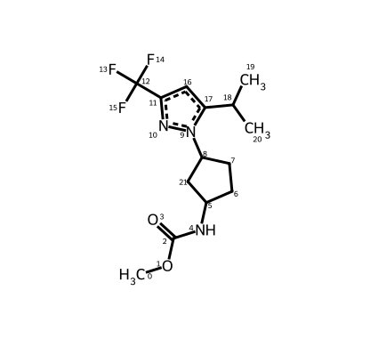 COC(=O)NC1CCC(n2nc(C(F)(F)F)cc2C(C)C)C1